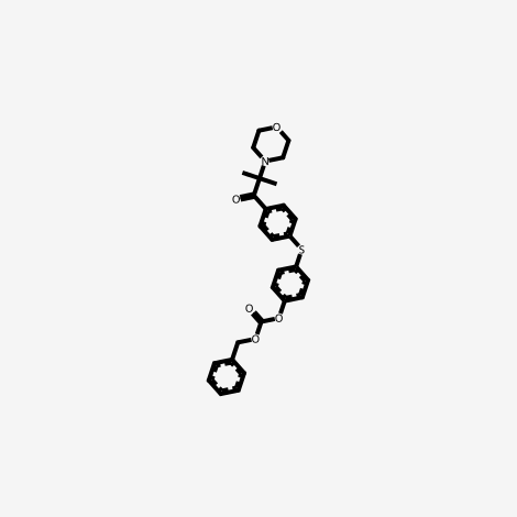 CC(C)(C(=O)c1ccc(Sc2ccc(OC(=O)OCc3ccccc3)cc2)cc1)N1CCOCC1